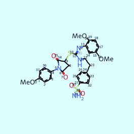 COc1ccc(N2C(=O)CC(S/C(=N/c3cc(OC)ccc3OC)NCCc3ccc(S(N)(=O)=O)cc3)C2=O)cc1